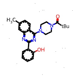 Cc1ccc2c(N3CCN(C(=O)C(C)(C)C)CC3)nc(-c3ccccc3O)nc2c1